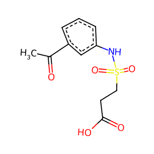 CC(=O)c1cccc(NS(=O)(=O)CCC(=O)O)c1